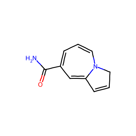 NC(=O)C1=CC=CN2CC=CC2=C1